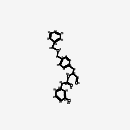 O=CC(Cc1ccc(COCc2ccccc2)cc1)OC(=O)Cc1cccc(Cl)c1